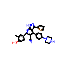 Cc1cc(-c2nc3[nH]nc(-c4cccs4)c3c(-c3ccc(N4CCNCC4)cc3)c2C#N)ccc1O